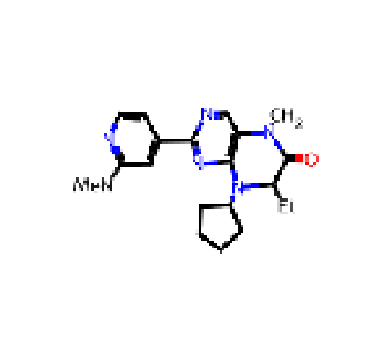 CCC1C(=O)N(C)c2cnc(-c3ccnc(NC)c3)nc2N1C1CCCC1